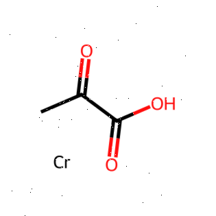 CC(=O)C(=O)O.[Cr]